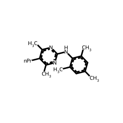 CCCc1c(C)nc(Nc2c(C)cc(C)cc2C)nc1C